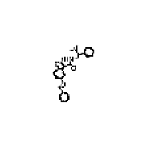 Cc1oc2ccc(OCc3ccccc3)cc2c1C(=O)NCC(c1ccccc1)N(C)C